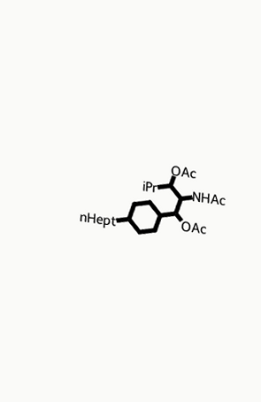 CCCCCCCC1CCC(C(OC(C)=O)C(NC(C)=O)C(OC(C)=O)C(C)C)CC1